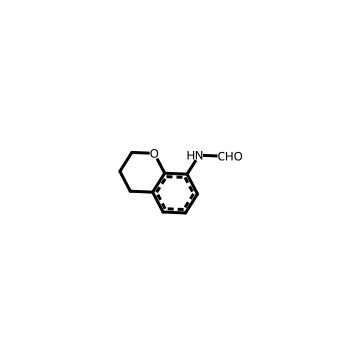 O=CNc1cccc2c1OCCC2